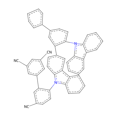 N#Cc1cc(C#N)cc(-c2cc(C#N)ccc2-n2c3ccccc3c3cc(-c4cc(-c5ccccc5)ccc4-n4c5ccccc5c5ccccc54)ccc32)c1